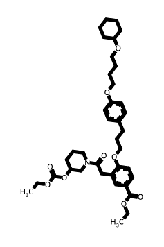 CCOC(=O)OC1CCCN(C(=O)Cc2cc(C(=O)OCC)ccc2OCCCc2ccc(OCCCCOC3CCCCC3)cc2)C1